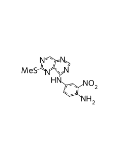 CSc1ncc2ncnc(Nc3ccc(N)c([N+](=O)[O-])c3)c2n1